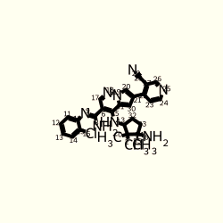 CC1(C)C(Nc2c(/C(N)=N/c3ccccc3Cl)cnn3cc(-c4ccncc4C#N)cc23)CC[C@]1(C)N